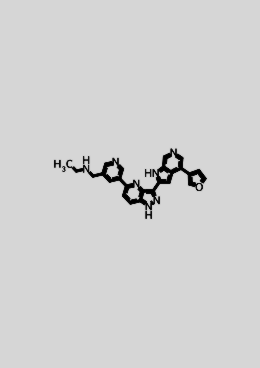 CCNCc1cncc(-c2ccc3[nH]nc(-c4cc5c(-c6ccoc6)cncc5[nH]4)c3n2)c1